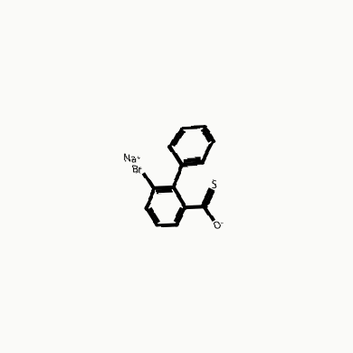 [Na+].[O-]C(=S)c1cccc(Br)c1-c1ccccc1